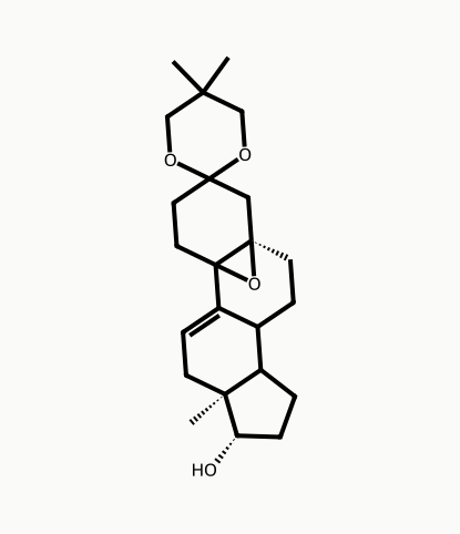 CC1(C)COC2(CCC34O[C@]3(CCC3C4=CC[C@@]4(C)C3CC[C@@H]4O)C2)OC1